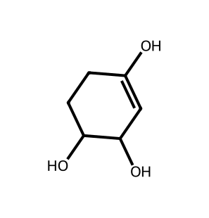 OC1=CC(O)C(O)CC1